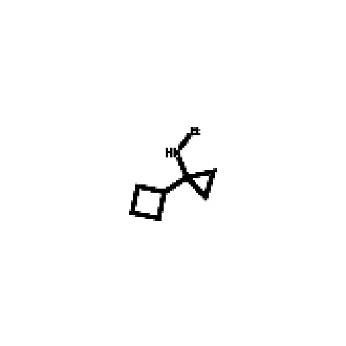 CCNC1(C2CCC2)CC1